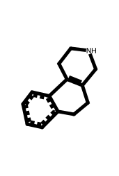 c1ccc2c(c1)CCC1=C2CCNC1